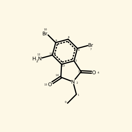 CCN1C(=O)c2c(Br)cc(Br)c(N)c2C1=O